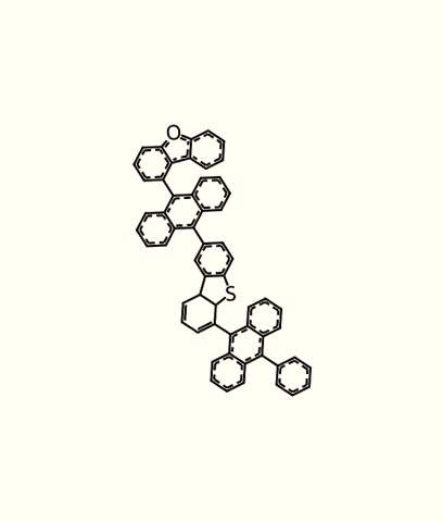 C1=CC2c3cc(-c4c5ccccc5c(-c5cccc6oc7ccccc7c56)c5ccccc45)ccc3SC2C(c2c3ccccc3c(-c3ccccc3)c3ccccc23)=C1